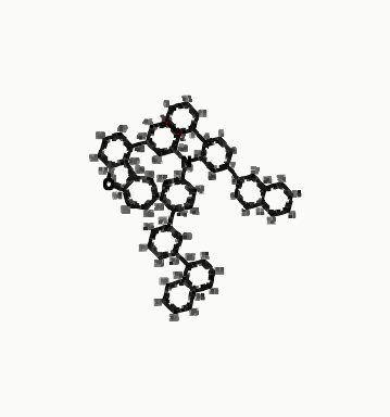 c1ccc(-c2ccc(-c3ccc4ccccc4c3)cc2N(c2ccc(-c3cccc(-c4cccc5ccccc45)c3)cc2)c2cccc(-c3cccc4oc5ccccc5c34)c2)cc1